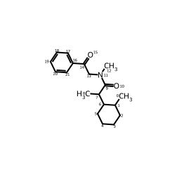 CC1CCCCC1C(C)C(=O)N(C)CC(=O)c1ccccc1